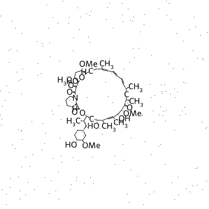 CO[C@H]1C[C@@H]2CC[C@@H](C)[C@@](O)(O2)C(=O)C(=O)N2CCCC[C@H]2C(=O)O[C@H]([C@H](C)C[C@@H]2CC[C@@H](O)[C@H](OC)C2)C[C@@H](O)[C@H](C)/C=C(\C)[C@@H](O)[C@@H](OC)C(=O)[C@H](C)C[C@H](C)/C=C/C=C/C=C/1C